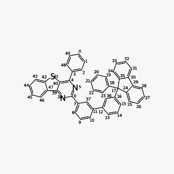 c1ccc(-c2nc(-c3cccc(-c4cccc(C5(c6ccccc6)c6ccccc6-c6ccccc65)c4)c3)nc3c2sc2ccccc23)cc1